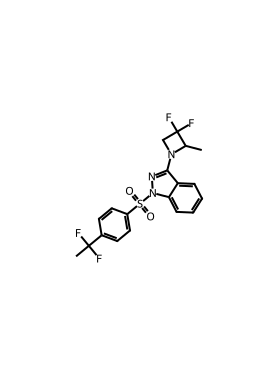 CC1N(c2nn(S(=O)(=O)c3ccc(C(C)(F)F)cc3)c3ccccc23)CC1(F)F